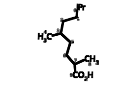 CC(C)CCC(C)CCC(C)C(=O)O